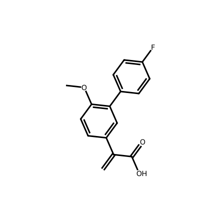 C=C(C(=O)O)c1ccc(OC)c(-c2ccc(F)cc2)c1